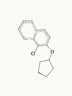 Clc1c(OC2CCCC2)ccc2ccccc12